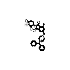 O=C1CCC(N2C(=O)c3cc(CN4CCN(C(c5ccccc5)c5ccccc5)CC4)cc(F)c3C2=O)C(=O)N1